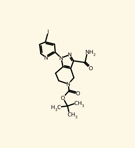 CC(C)(C)OC(=O)N1CCc2c(c(C(N)=O)nn2-c2cc(I)ccn2)C1